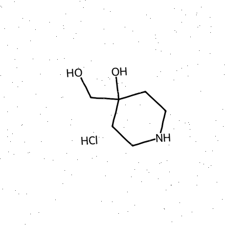 Cl.OCC1(O)CCNCC1